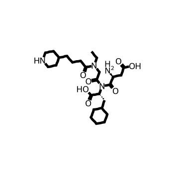 CCN(CC(=O)N(C(=O)[C@@H](N)CC(=O)O)[C@H](CC1CCCCC1)C(=O)O)C(=O)CCCC1CCNCC1